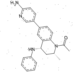 CC(=O)N1c2ccc(-c3ccc(N)nc3)cc2[C@@H](Nc2ccccc2)C[C@H]1C